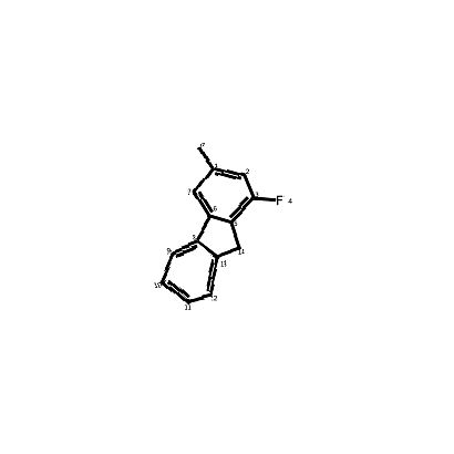 Cc1cc(F)c2c(c1)-c1ccccc1C2